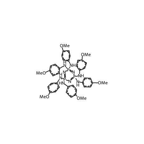 COc1ccc(NP2(Nc3ccc(OC)cc3)=NP(Nc3ccc(OC)cc3)(Nc3ccc(OC)cc3)=NP(Nc3ccc(OC)cc3)(Nc3ccc(OC)cc3)=N2)cc1